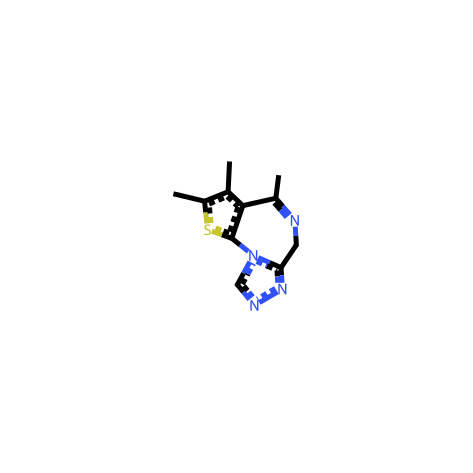 CC1=NCc2nncn2-c2sc(C)c(C)c21